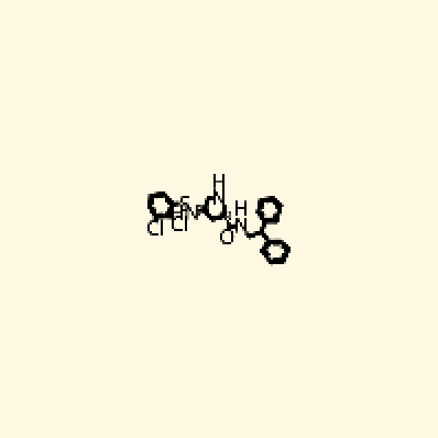 O=C(NCC(c1ccccc1)c1ccccc1)[C@@H]1CNC[C@H](NSc2cccc(Cl)c2Cl)C1